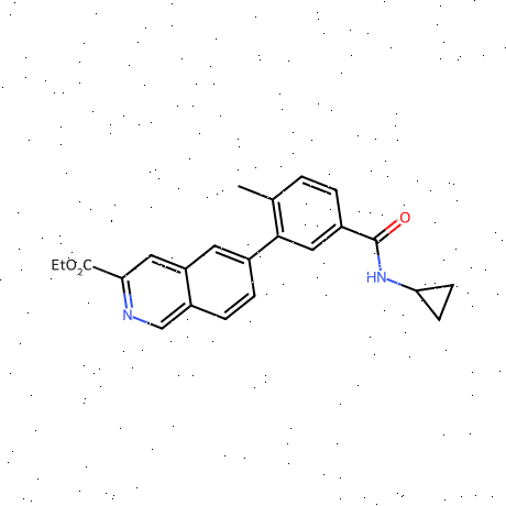 CCOC(=O)c1cc2cc(-c3cc(C(=O)NC4CC4)ccc3C)ccc2cn1